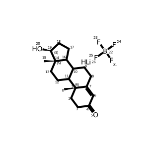 C[C@]12CCC(=O)C=C1CCC1C2CC[C@@]2(C)C1CC[C@@H]2O.F[B-](F)(F)F.[LiH]